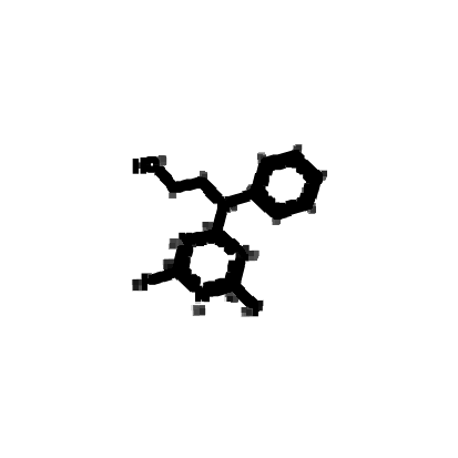 OCCN(c1ccccc1)c1nc(F)nc(F)n1